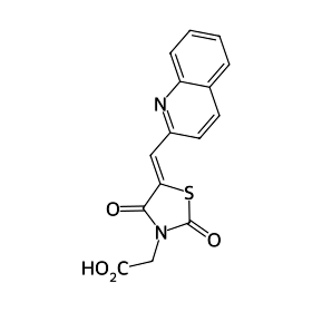 O=C(O)CN1C(=O)S/C(=C\c2ccc3ccccc3n2)C1=O